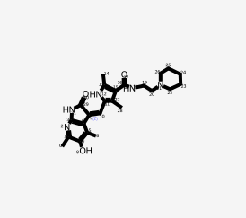 Cc1nc2c(c(C)c1O)/C(=C/c1[nH]c(C)c(C(=O)NCCN3CCCCC3)c1C)C(=O)N2